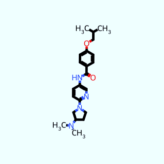 CC(C)COc1ccc(C(=O)Nc2ccc(N3CCC(N(C)C)C3)nc2)cc1